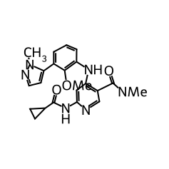 CNC(=O)c1cnc(NC(=O)C2CC2)cc1Nc1cccc(-c2ccnn2C)c1OC